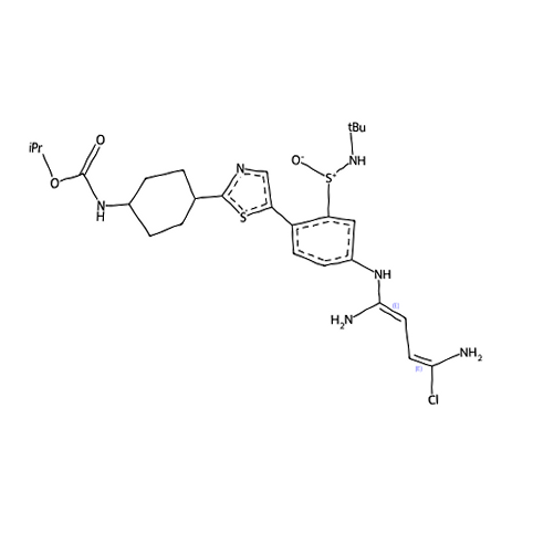 CC(C)OC(=O)NC1CCC(c2ncc(-c3ccc(N/C(N)=C/C=C(\N)Cl)cc3[S+]([O-])NC(C)(C)C)s2)CC1